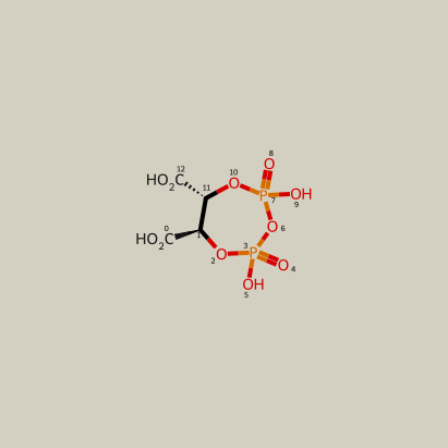 O=C(O)[C@@H]1OP(=O)(O)OP(=O)(O)O[C@H]1C(=O)O